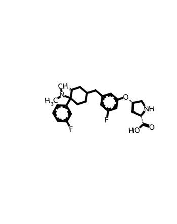 CN(C)C1(c2cccc(F)c2)CCC(Cc2cc(F)cc(O[C@@H]3CN[C@H](C(=O)O)C3)c2)CC1